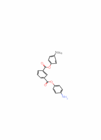 CNc1ccc(OC(=O)c2cccc(C(=O)Oc3ccc(N)cc3)c2)cc1